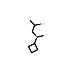 CC(O)CN(C)C1CCC1